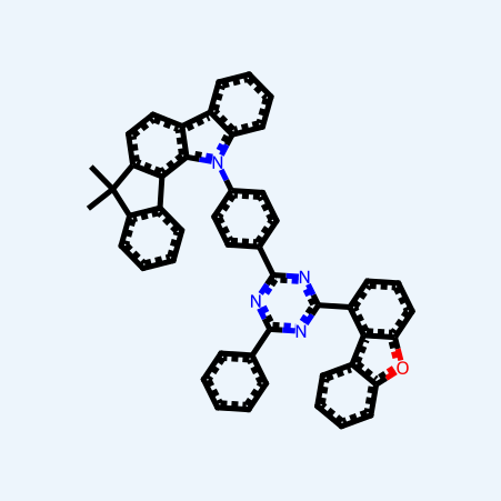 CC1(C)c2ccccc2-c2c1ccc1c3ccccc3n(-c3ccc(-c4nc(-c5ccccc5)nc(-c5cccc6oc7ccccc7c56)n4)cc3)c21